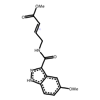 COC(=O)/C=C/CNC(=O)c1n[nH]c2ccc(OC)cc12